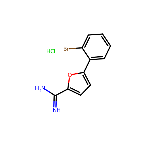 Cl.N=C(N)c1ccc(-c2ccccc2Br)o1